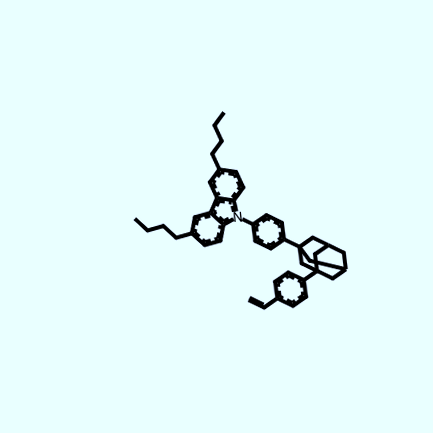 C=Cc1ccc(C23CC4CC(C2)CC(c2ccc(-n5c6ccc(CCCC)cc6c6cc(CCCC)ccc65)cc2)(C4)C3)cc1